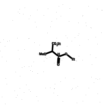 CCOC(=O)C(OC)[PH](=O)OCC